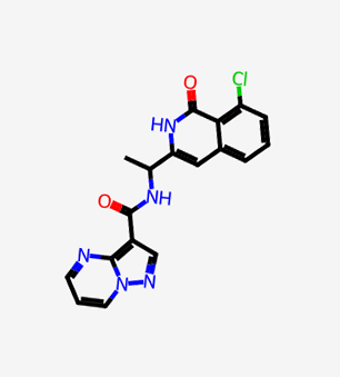 CC(NC(=O)c1cnn2cccnc12)c1cc2cccc(Cl)c2c(=O)[nH]1